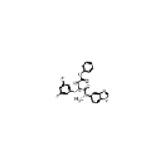 CN(C(=O)[C@H](Cc1cc(F)cc(F)c1)NC(=O)Oc1ccccc1)c1ccc2scnc2c1